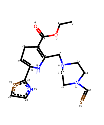 CCOC(=O)C1=C(CN2CCN(C=S)CC2)NC(c2nccs2)=CC1